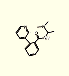 CC(NC(=O)c1ccccc1-c1[c]nccc1)N(C)C